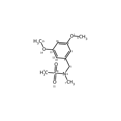 COc1cc(CN(C)S(C)(=O)=O)cc(OC)c1